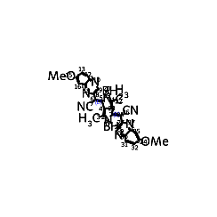 Bn1c(C)c2/c(=C(\C#N)c3cnc4ccc(OC)cc4n3)n(B)c(C)c2/c1=C(\C#N)c1cnc2ccc(OC)cc2n1